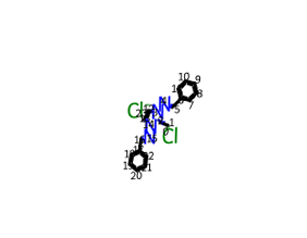 ClCc1n(N=Cc2ccccc2)cc[n+]1N=Cc1ccccc1.[Cl-]